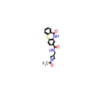 O=C(NCC1CN(C(=O)C(F)(F)F)C1)c1ccc2c(c1)NC(=O)c1ccccc1S2